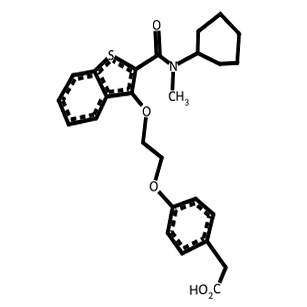 CN(C(=O)c1sc2ccccc2c1OCCOc1ccc(CC(=O)O)cc1)C1CCCCC1